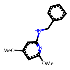 COc1cc(NCc2ccccc2)nc(OC)c1